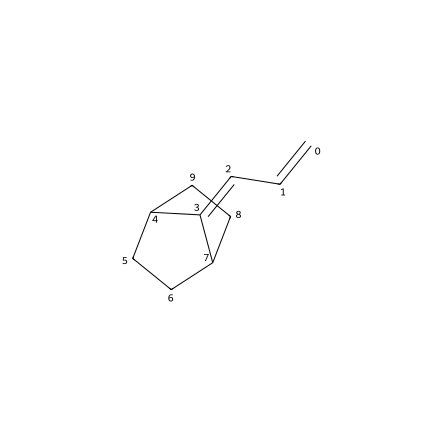 C=CC=C1C2CCC1CC2